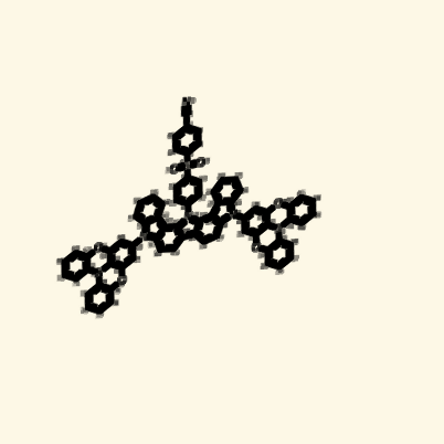 N#Cc1ccc(S(=O)(=O)c2ccc(-n3c4c(ccc5c4c4ccccc4n5-c4cc5c6c(c4)Oc4ccccc4B6c4ccccc4O5)c4ccc5c(c6ccccc6n5-c5cc6c7c(c5)Oc5ccccc5B7c5ccccc5O6)c43)cc2)cc1